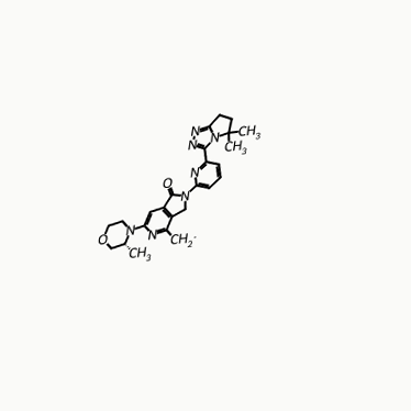 [CH2]c1nc(N2CCOC[C@H]2C)cc2c1CN(c1cccc(-c3nnc4n3C(C)(C)CC4)n1)C2=O